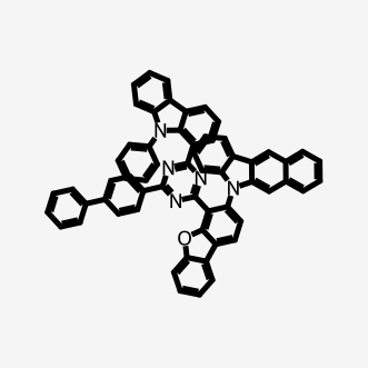 c1ccc(-c2ccc(-c3nc(-c4c(-n5c6ccccc6c6cc7ccccc7cc65)ccc5c4oc4ccccc45)nc(-c4cccc5c6ccccc6n(-c6ccccc6)c45)n3)cc2)cc1